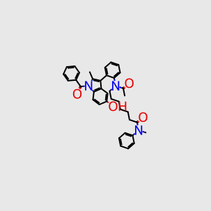 CC(=O)N(CCCCCCC(=O)N(C)c1ccccc1)c1ccccc1-c1c(C)n(C(=O)c2ccccc2)c2ccc(O)cc12